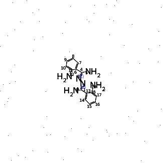 N/C(=N\N=C(/N)c1ccccc1N)c1ccccc1N